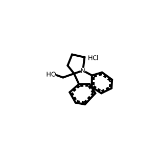 Cl.OCC1(c2ccccc2)CCCN1c1ccccc1